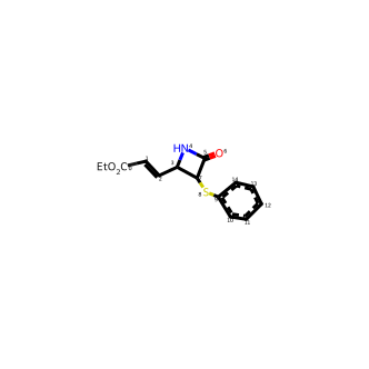 CCOC(=O)/C=C/C1NC(=O)C1Sc1ccccc1